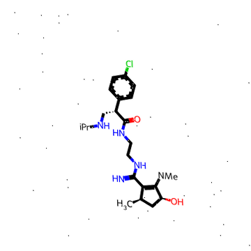 CNC1=C(C(=N)NCCNC(=O)[C@H](CNC(C)C)c2ccc(Cl)cc2)[C@H](C)C[C@@H]1O